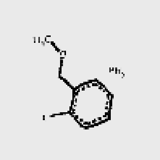 COCc1ccccc1Cl.P